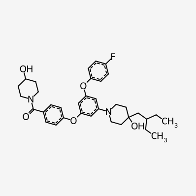 CCC(CC)CC1(O)CCN(c2cc(Oc3ccc(F)cc3)cc(Oc3ccc(C(=O)N4CCC(O)CC4)cc3)c2)CC1